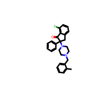 Cc1ccccc1CN1CCN(C2(c3ccccc3)Cc3cccc(F)c3C2=O)CC1